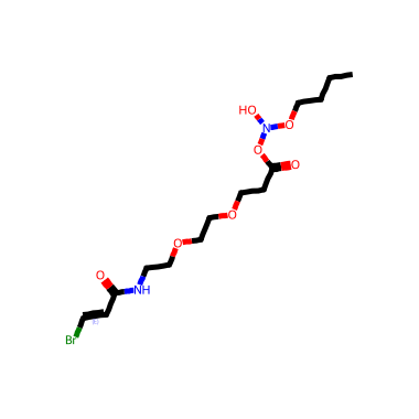 CCCCON(O)OC(=O)CCOCCOCCNC(=O)/C=C/Br